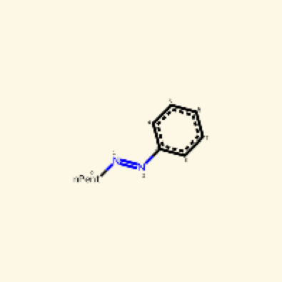 CCCCC/N=N/c1cc[c]cc1